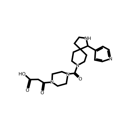 O=C(O)CC(=O)N1CCN(C(=O)N2CCC3(CCNC3c3ccncc3)CC2)CC1